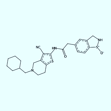 N#Cc1c(NC(=O)Cc2ccc3c(c2)CN[S+]3[O-])sc2c1CN(CC1CCCCC1)CC2